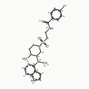 CC1CCN(S(=O)(=O)CCNC(=O)c2ccc(F)cc2)CC1N(C)c1ncnc2[nH]ccc12